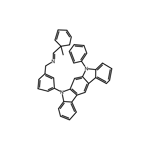 CC1(/C=N/Cc2cccc(-n3c4ccccc4c4cc5c6ccccc6n(-c6ccccc6)c5cc43)c2)C=CC=CC1